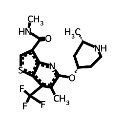 CNC(=O)c1csc2c(C(F)(F)F)c(C)c(O[C@H]3CCN[C@@H](C)C3)nc12